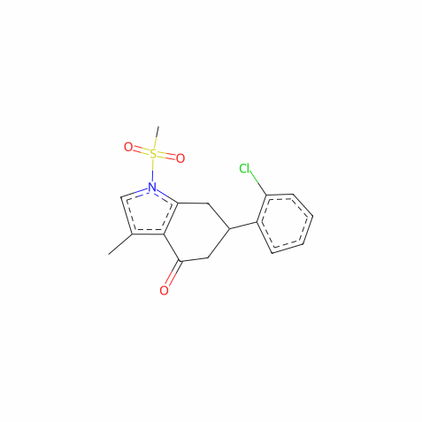 Cc1cn(S(C)(=O)=O)c2c1C(=O)CC(c1ccccc1Cl)C2